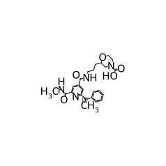 CNC(=O)c1cc(C(=O)NCCCC2CN(C(=O)O)CCO2)cc([C@@H](C)c2ccccc2)n1